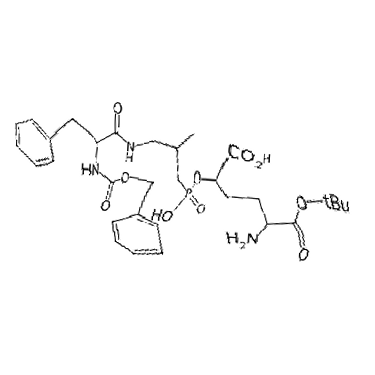 CC(CNC(=O)C(Cc1ccccc1)NC(=O)OCc1ccccc1)CP(=O)(O)OC(CCC(N)C(=O)OC(C)(C)C)C(=O)O